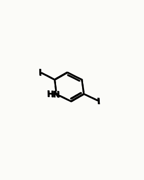 IC1=CNC(I)C=C1